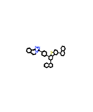 c1ccc2c(-c3ccc4sc5c(-c6ccc(-c7nnc8c9ccccc9ccn78)cc6)cc(-c6cccc7ccccc67)cc5c4c3)cccc2c1